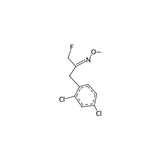 CON=C(CF)Cc1ccc(Cl)cc1Cl